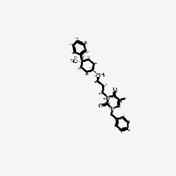 Cc1cn(Cc2ccccc2)c(=O)n(CCCN[C@H]2CC[C@](C#N)(c3ccccc3)CC2)c1=O